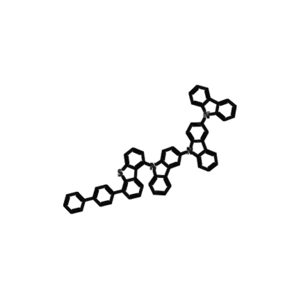 c1ccc(-c2ccc(-c3cccc4c3sc3cccc(-n5c6ccccc6c6cc(-n7c8ccccc8c8cc(-n9c%10ccccc%10c%10ccccc%109)ccc87)ccc65)c34)cc2)cc1